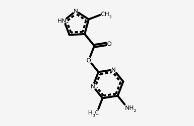 Cc1nc(OC(=O)c2c[nH]nc2C)ncc1N